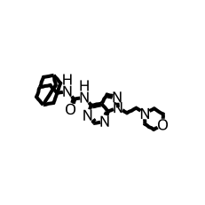 O=C(Nc1ncnc2c1cnn2CCN1CCOCC1)NC12CC3CC(CC(C3)C1)C2